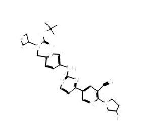 CC(C)(C)OC(=O)N(Cc1ccc(Nc2nccc(-c3cnc(N4CCC(F)C4)c(C#N)c3)n2)cn1)C1COC1